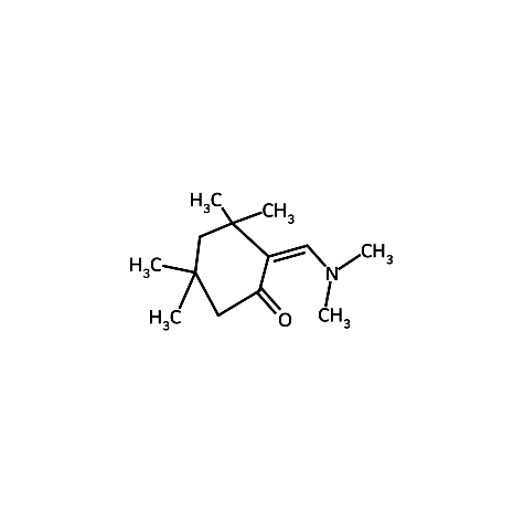 CN(C)C=C1C(=O)CC(C)(C)CC1(C)C